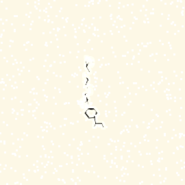 CCC(C)c1ccc(OCCSCCSCCOC)cc1